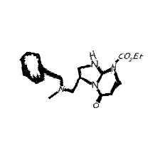 CCOC(=O)N1C=CC(=O)N2C(CN(C)Cc3ccccc3)CNC12